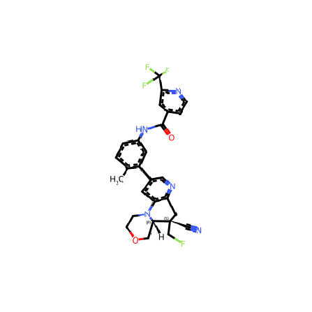 Cc1ccc(NC(=O)c2ccnc(C(F)(F)F)c2)cc1-c1cnc2c(c1)N1CCOC[C@H]1[C@@](C#N)(CF)C2